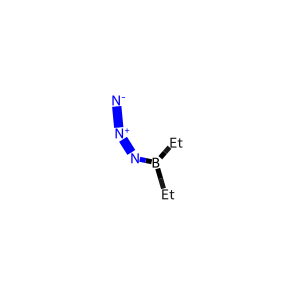 CCB(CC)N=[N+]=[N-]